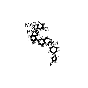 COc1ncc(Cl)cc1S(=O)(=O)Nc1ccc(F)c(-c2ccc3nc(N[C@H]4CC[C@H](N5CC[C@@H](F)C5)CC4)ncc3c2)c1F